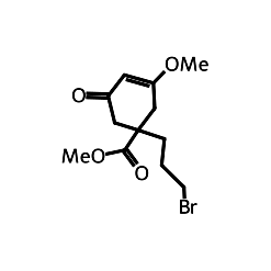 COC(=O)C1(CCCBr)CC(=O)C=C(OC)C1